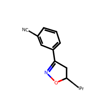 CC(C)C1CC(c2cccc(C#N)c2)=NO1